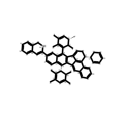 CC1=C[C@H](C)C(C)C(c2c3c(c([C@H]4C(C)=C(C)C=C(C)C4C)c4ccc(C5=Cc6ccccc6CN5)cc24)-c2cc4ccccc4c4c2C3=CCC4[C@H]2C=CC=CC2)=C1C